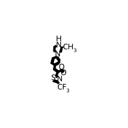 C[C@H]1CN(c2ccc3cc(-c4nc(C(F)(F)F)cs4)c(=O)oc3c2)CCN1